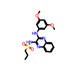 CCCS(=O)(=O)Nc1nc2ccccc2nc1Nc1cc(OC)cc(OC)c1